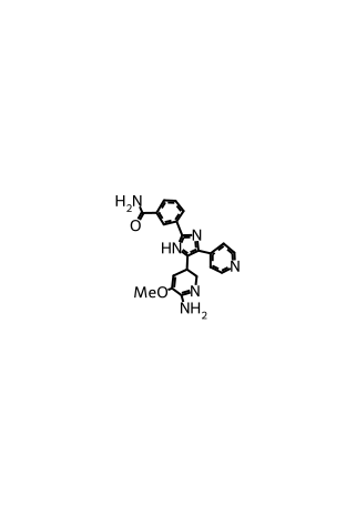 COC1=CC(c2[nH]c(-c3cccc(C(N)=O)c3)nc2-c2ccncc2)CN=C1N